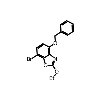 CCOc1nc2c(OCc3ccccc3)ccc(Br)c2o1